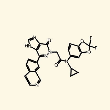 O=C(Cn1nc(-c2ccc3ccncc3c2)c2[nH]cnc2c1=O)N(c1ccc2c(c1)OC(F)(F)O2)C1CC1